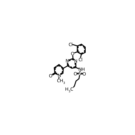 CCCCS(=O)(=O)Nc1cc(-c2ccc(=O)n(C)c2)nc(Oc2c(Cl)cccc2Cl)n1